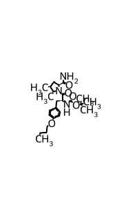 CCCCOc1ccc(C[C@H](NC(=O)OC(C)(C)C)C(=O)N2C(C)[C@@H](C)C[C@H]2C(N)=O)cc1